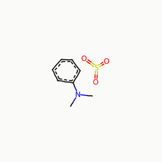 CN(C)c1ccccc1.O=S(=O)=O